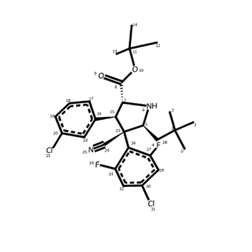 CC(C)(C)C[C@@H]1N[C@@H](C(=O)OC(C)(C)C)[C@H](c2cccc(Cl)c2)[C@@]1(C#N)c1c(F)cc(Cl)cc1F